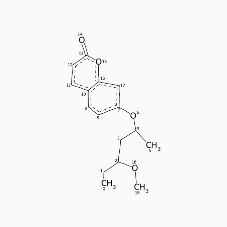 CCC(CC(C)Oc1ccc2ccc(=O)oc2c1)OC